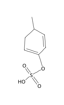 CC1C=CC(OS(=O)(=O)O)=CC1